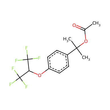 CC(=O)OC(C)(C)c1ccc(OC(C(F)(F)F)C(F)(F)F)cc1